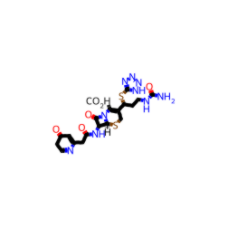 NC(=O)NCCC(Sc1nnn[nH]1)C1=C(C(=O)O)N2C(=O)C(NC(=O)CC3=CC(=O)CC=N3)[C@@H]2SC1